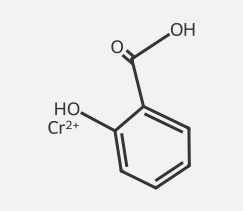 O=C(O)c1ccccc1O.[Cr+2]